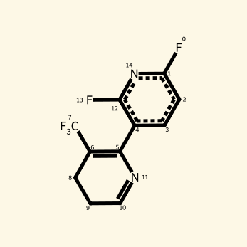 Fc1ccc(C2=C(C(F)(F)F)CCC=N2)c(F)n1